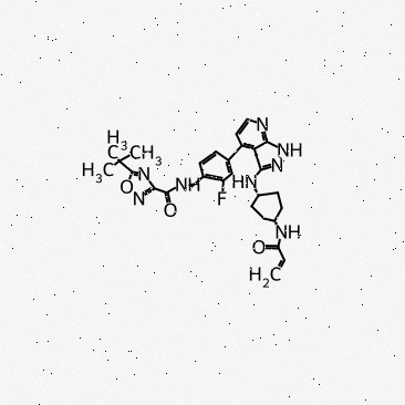 C=CC(=O)N[C@H]1CC[C@@H](Nc2n[nH]c3nccc(-c4ccc(CNC(=O)c5noc(C(C)(C)C)n5)c(F)c4)c23)CC1